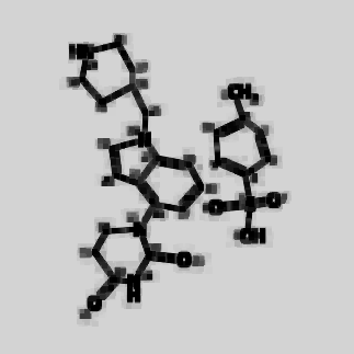 Cc1ccc(S(=O)(=O)O)cc1.O=C1CCN(c2cccc3c2ccn3CC2CCNCC2)C(=O)N1